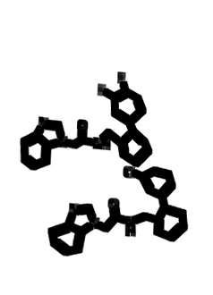 O=C(Cn1cnc2ccccc21)NCc1ccccc1-c1ccc(F)c(F)c1.O=C(Cn1cnc2ccccc21)NCc1ccccc1-c1cccc(Cl)c1